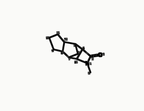 CN1C(=O)C2C3CC(C4CCCC43)C21